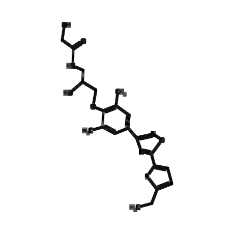 CCc1ccc(-c2nc(-c3cc(C)c(OCC(O)CNC(=O)CO)c(C)c3)no2)s1